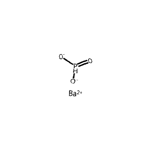 O=[PH]([O-])[O-].[Ba+2]